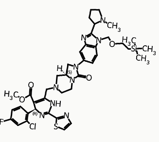 COC(=O)C1=C(CN2CCN3C(=O)N(c4ccc5c(c4)nc(C4CCCN4C)n5COCC[Si](C)(C)C)C[C@@H]3C2)NC(c2nccs2)=N[C@H]1c1ccc(F)cc1Cl